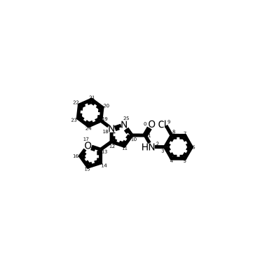 O=C(Nc1ccccc1Cl)c1cc(-c2ccco2)n(-c2ccccc2)n1